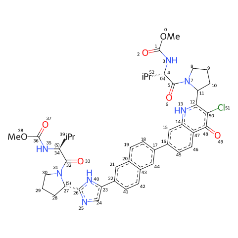 COC(=O)N[C@H](C(=O)N1CCCC1c1[nH]c2cc(-c3ccc4cc(-c5cnc([C@@H]6CCCN6C(=O)[C@@H](NC(=O)OC)C(C)C)[nH]5)ccc4c3)ccc2c(=O)c1Cl)C(C)C